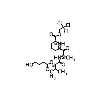 CC(C)[C@H](OC(=O)CCCO)C(=O)N[C@@H](C)C(=O)N1CCC[C@@H](C(=O)OCC(Cl)(Cl)Cl)N1